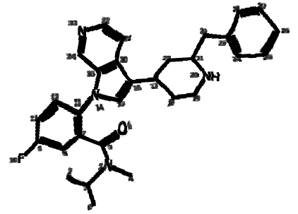 CC(C)N(C)C(=O)c1cc(F)ccc1-n1cc(C2CCNC(Cc3ccccc3)C2)c2ccncc21